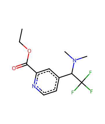 CCOC(=O)c1cc(C(N(C)C)C(F)(F)F)ccn1